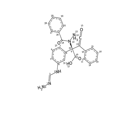 NN=CNc1cccc([C@@](C(=O)O)(C(=C=O)c2ccccc2)N(N)C(=O)c2ccccc2)c1